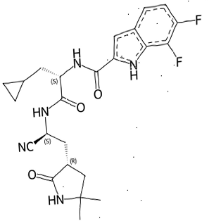 CC1(C)C[C@@H](C[C@@H](C#N)NC(=O)[C@H](CC2CC2)NC(=O)c2cc3ccc(F)c(F)c3[nH]2)C(=O)N1